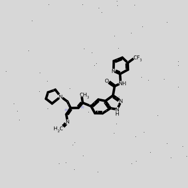 C=N/C=C(\C=C(/C)c1ccc2[nH]nc(C(=O)Nc3cc(C(F)(F)F)ccn3)c2c1)CN1CCCC1